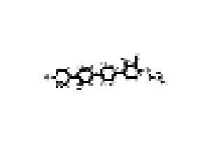 CCOCOc1ccc(-c2ccc(-c3ccc(C4CCC(C)OC4)c(F)c3)cc2)c(F)c1F